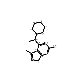 CC1=NCc2nc(Cl)nc(N(C)C3CCCCC3)c21